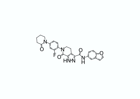 O=C(Nc1ccc2occc2c1)c1n[nH]c2c1CCN(c1ccc(N3CCCCC3=O)cc1F)C2=O